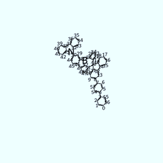 c1ccc(-c2ccc(-c3ccc4c(c3)-c3ccccc3C43c4ccccc4B4c5cc(-n6c7ccccc7c7ccccc76)ccc5-c5cccc3c54)cc2)cc1